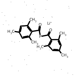 Cc1cc(C)c(C(=O)[P-]C(=O)c2c(C)cc(C)cc2C)c(C)c1.[Li+]